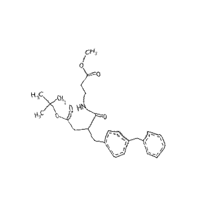 COC(=O)CCNC(=O)C(CC(=O)OC(C)(C)C)Cc1ccc(-c2ccccc2)cc1